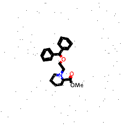 COC(=O)C1CCCCN1CCOC(c1ccccc1)c1ccccc1